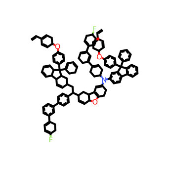 C=CC1=CCC(Oc2ccc(C3(c4ccccc4)c4ccccc4-c4ccc(N(C5=CC6=C(CC5)OC5C=CC(C(CC7C=CC8C9C=CC=CC9C(C9=CC=CCC9)(c9ccc(OC%10C=CC(C=C)=CC%10)cc9)C8C7)c7ccc(-c8cccc(C9=CC=C(F)CC9)c8)cc7)CC65)C5CC=C(C6=CC(C7=CCC(F)C=C7)=CCC6)CC5)cc43)cc2)C=C1